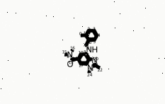 Cc1ccccc1CNc1cc(C(=O)N(C)C)cc2c1nc(C)n2C